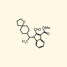 COC(=O)c1c(C=O)n(C(C)C2CCC3(CCCO3)CC2)c2ccccc12